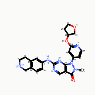 CCn1c(=O)c2cnc(Nc3ccc4c(c3)CCNC4)nc2n1-c1ccnc(OC2CCOC2)c1